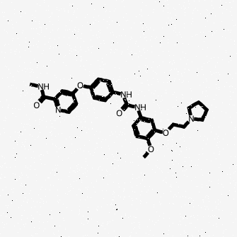 CNC(=O)c1cc(Oc2ccc(NC(=O)Nc3ccc(OC)c(OCCN4CCCC4)c3)cc2)ccn1